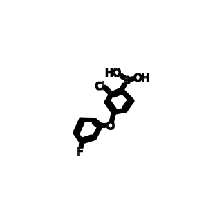 OB(O)c1ccc(Oc2cccc(F)c2)cc1Cl